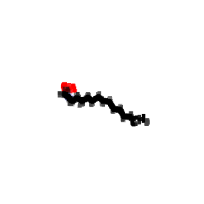 CCCCCCCCCCCC/C=[C]\O